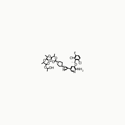 CC(O)OC(=O)C(C)OC(=O)C(C)OC(=O)C(C)OC(=O)N1CCC(n2cc(-c3cnc(N)c(O[C@H](C)c4c(Cl)ccc(F)c4Cl)c3)cn2)CC1